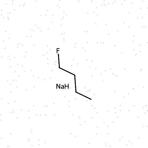 CCCCF.[NaH]